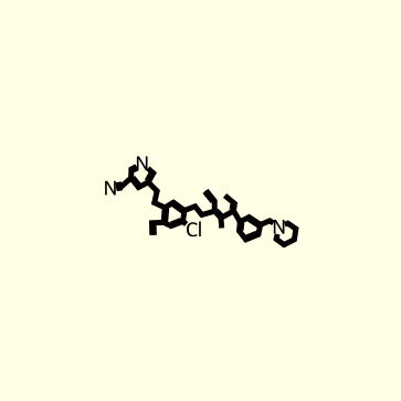 C=C/C(CCc1cc(CCc2cncc(C#N)c2)c(C=C)cc1Cl)=C(C)\C(=C/C)c1cccc(CN2CCCCC2)c1